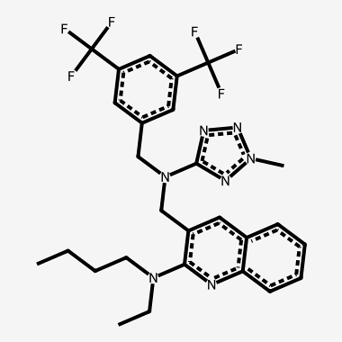 CCCCN(CC)c1nc2ccccc2cc1CN(Cc1cc(C(F)(F)F)cc(C(F)(F)F)c1)c1nnn(C)n1